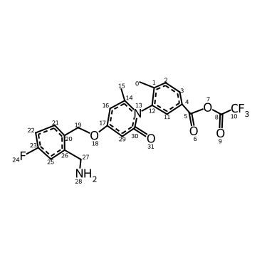 Cc1ccc(C(=O)OC(=O)C(F)(F)F)cc1-n1c(C)cc(OCc2ccc(F)cc2CN)cc1=O